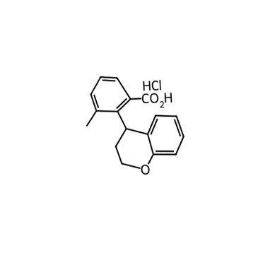 Cc1cccc(C(=O)O)c1C1CCOc2ccccc21.Cl